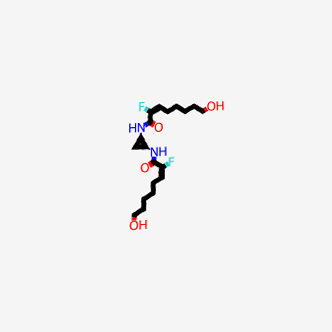 O=C(N[C@H]1C[C@H]1NC(=O)/C(F)=C\CCCCCO)/C(F)=C\CCCCCO